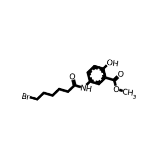 COC(=O)c1cc(NC(=O)CCCCCBr)ccc1O